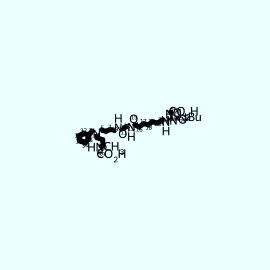 C[C@H](CCN(CCCCNC(=O)CNC(=O)CCCCCCNC(=NC(=O)O)NC(=O)OC(C)(C)C)Cc1ccccc1)NC(=O)O